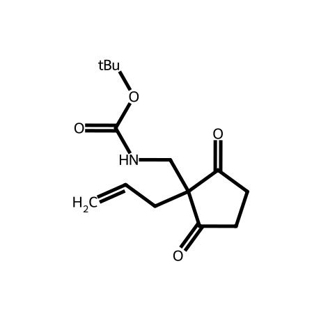 C=CCC1(CNC(=O)OC(C)(C)C)C(=O)CCC1=O